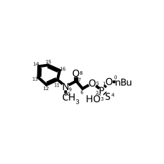 CCCCOP(O)(=S)OCC(=O)N(C)c1ccccc1